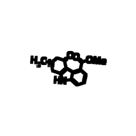 COC(=O)c1cccc2[nH]c3c(c12)C(=O)CN(C)C3